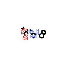 CC1(C)O[C@@H]2[C@H](O1)[C@@H](CO)O[C@H]2n1cnc2c(NC3CCCc4ccccc43)ncnc21